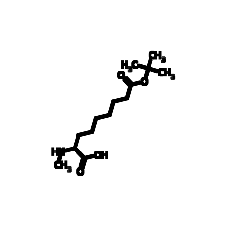 CNC(CCCCCCC(=O)OC(C)(C)C)C(=O)O